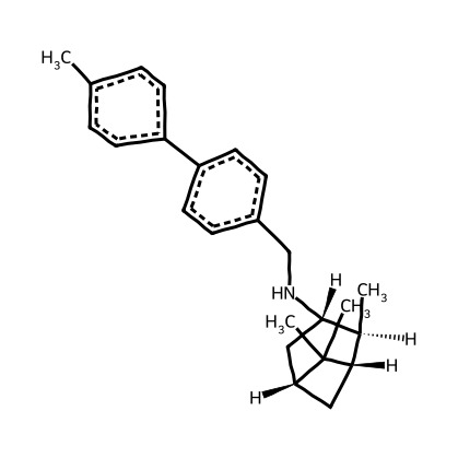 Cc1ccc(-c2ccc(CN[C@H]3C[C@H]4C[C@@H]([C@@H]3C)C4(C)C)cc2)cc1